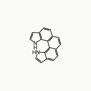 c1cc2ccc3ccc4ccc5cc[nH]c5c4c3c2[nH]1